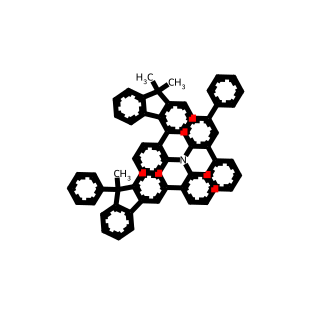 CC1(C)c2ccccc2-c2c(-c3ccccc3N(c3ccccc3-c3ccc4c(c3)-c3ccccc3C4(C)c3ccccc3)c3ccc(-c4ccccc4)cc3-c3ccccc3)cccc21